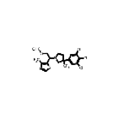 O=COCC(c1scnc1C(F)(F)F)N1CCC(c2cc(Cl)c(Cl)c(Cl)c2)(C(F)(F)F)C1